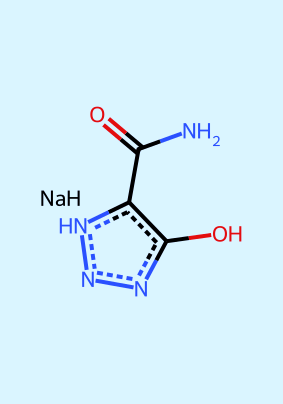 NC(=O)c1[nH]nnc1O.[NaH]